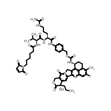 CCC[C@@]1(O)C(=O)OCc2c1cc1n(c2=O)Cc2c-1nc1cc(F)c(C)c3c1c2[C@@H](NC(=O)OCc1ccc(NC(=O)[C@H](CCCNC(N)=O)NC(=O)[C@@H](NC(=O)CCCCCN2C(=O)C=CC2=O)C(C)C)cc1)CC3